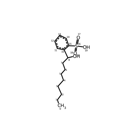 CCCCCCCCC(O)c1ccccc1S(=O)(=O)O